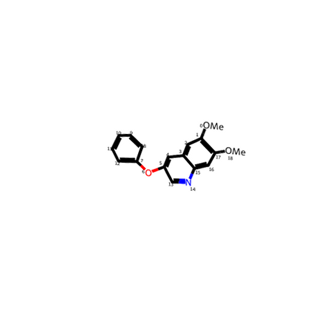 COc1cc2cc(Oc3[c]cccc3)cnc2cc1OC